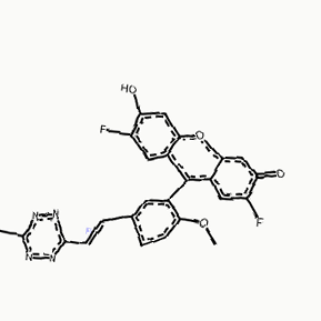 COc1ccc(/C=C/c2nnc(C)nn2)cc1-c1c2cc(F)c(=O)cc-2oc2cc(O)c(F)cc12